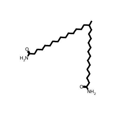 CC(CCCCCCCCCCCCCCC(N)=O)CCCCCCCCCCCCCC(N)=O